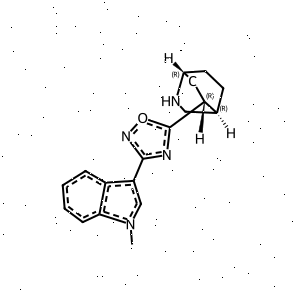 Cn1cc(-c2noc([C@@H]3C[C@H]4CC[C@H]3CN4)n2)c2ccccc21